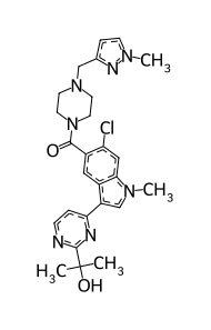 Cn1ccc(CN2CCN(C(=O)c3cc4c(-c5ccnc(C(C)(C)O)n5)cn(C)c4cc3Cl)CC2)n1